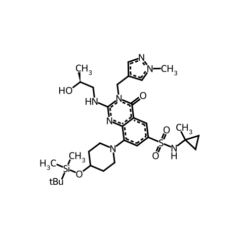 C[C@H](O)CNc1nc2c(N3CCC(O[Si](C)(C)C(C)(C)C)CC3)cc(S(=O)(=O)NC3(C)CC3)cc2c(=O)n1Cc1cnn(C)c1